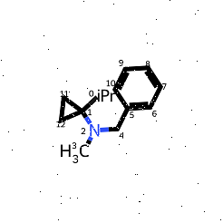 CC(C)C1(N(C)Cc2ccccc2)CC1